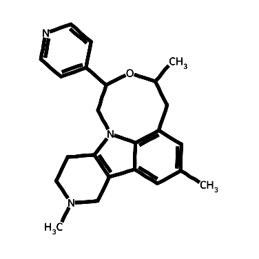 Cc1cc2c3c(c1)c1c(n3CC(c3ccncc3)OC(C)C2)CCN(C)C1